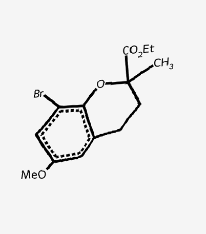 CCOC(=O)C1(C)CCc2cc(OC)cc(Br)c2O1